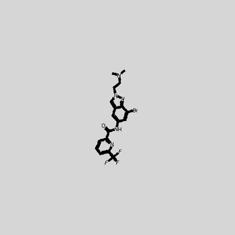 CN(C)CCn1cc2cc(NC(=O)c3cccc(C(F)(F)F)n3)cc(Br)c2n1